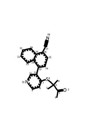 CC(=O)C(C)(C)Sc1ccncc1-c1ccc(C#N)c2ccccc12